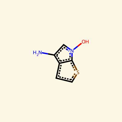 Nc1cn(O)c2sccc12